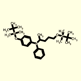 CC(CCCO[Si](C)(C)C(C)(C)C)N(c1ccccc1)c1ccc(O[Si](C)(C)C(C)(C)C)cc1